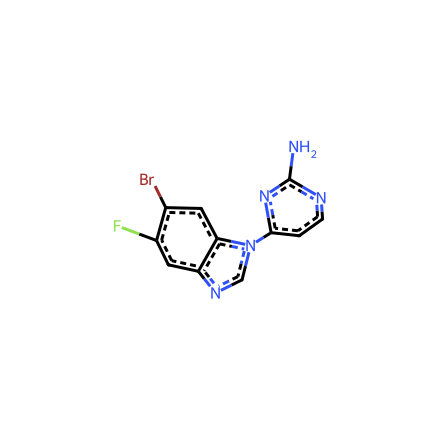 Nc1nccc(-n2cnc3cc(F)c(Br)cc32)n1